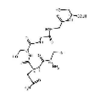 NC(=O)C[C@H](NC(=O)[C@@H](N)CS)C(=O)N[C@@H](CO)C(=O)NCC(=O)NCC(=O)N[C@@H](CO)C(=O)O